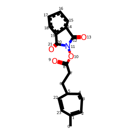 CC1=CC=CC(CCC(=O)ON2C(=O)c3ccccc3C2=O)C=C1